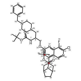 CC(C)(C)OC(=O)NC(COc1nc(N2CC3CCC(C2)N3C(=O)OC(C)(C)C)c2cnc(Cl)c(F)c2n1)CN1CCN(Cc2ccccc2)CC1